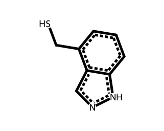 SCc1cccc2[nH]ncc12